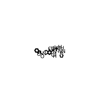 C/N=C(/NC[C@H](NC(=O)c1c(Cl)cc2c(c1Cl)CCN(C(=O)c1cc3ccccc3o1)C2)C(=O)O)N1CCCC1